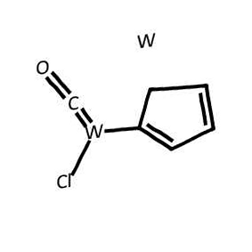 O=[C]=[W]([Cl])[C]1=CC=CC1.[W]